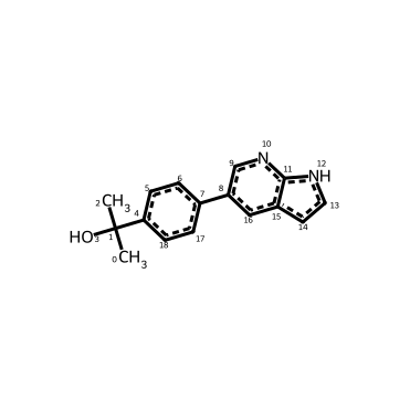 CC(C)(O)c1ccc(-c2cnc3[nH]ccc3c2)cc1